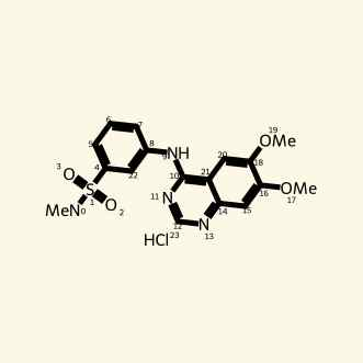 CNS(=O)(=O)c1cccc(Nc2ncnc3cc(OC)c(OC)cc23)c1.Cl